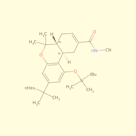 CCCCCCC(C)(C)c1cc2c(c(O[Si](C)(C)C(C)(C)C)c1)[C@@H]1CC(C(=O)NC#N)=CC[C@H]1C(C)(C)O2